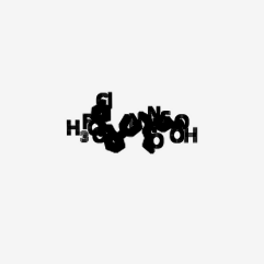 CC1(c2ccc(Cl)cc2F)Cc2c(cccc2C2CCN(Cc3nc4sc(C(=O)O)cc4n3CC3CCO3)CC2)O1